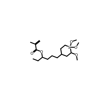 C=C(C)C(=O)OC(CC)CCCC1CC[Si](OC)(OC)C(OC)C1